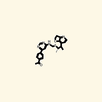 CC(=O)c1ccc(-c2cc(NCS[C@@H](C)C(C)c3ccnc4c3OCC4)ncn2)cc1